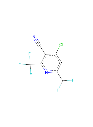 N#Cc1c(Cl)cc(C(F)F)nc1C(F)(F)F